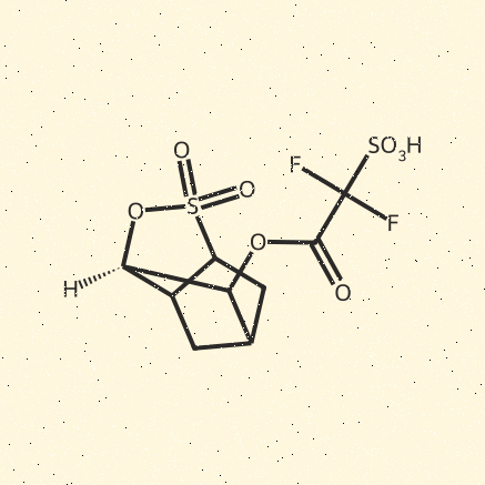 O=C(OC1C2CC3C(C2)S(=O)(=O)O[C@H]31)C(F)(F)S(=O)(=O)O